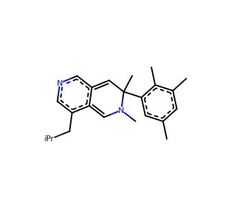 Cc1cc(C)c(C)c(C2(C)C=c3cncc(CC(C)C)c3=CN2C)c1